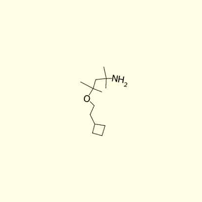 CC(C)(N)CC(C)(C)OCCC1CCC1